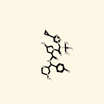 CN1CCOC(C(NC(=O)C2CC(O)CN2C(=O)[C@H](n2cc(C3CC3)nn2)C(C)(C)C)c2ccc(Cl)cc2)C1